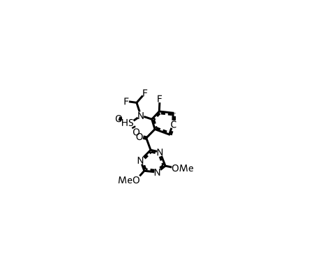 COc1nc(OC)nc(C(=O)c2cccc(F)c2N(C(F)F)[SH](=O)=O)n1